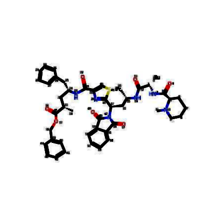 CC[C@H](C)[C@H](NC(=O)[C@H]1CCCCN1C)C(=O)N[C@H](C[C@H](c1nc(C(=O)N[C@@H](Cc2ccccc2)C[C@H](C)C(=O)OCc2ccccc2)cs1)N1C(=O)c2ccccc2C1=O)C(C)C